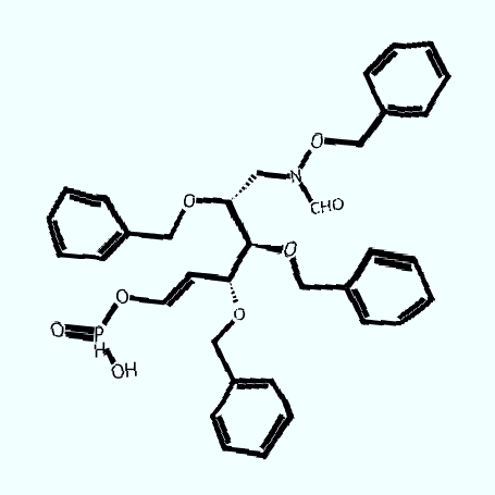 O=CN(C[C@@H](OCc1ccccc1)[C@@H](OCc1ccccc1)[C@@H](/C=C/O[PH](=O)O)OCc1ccccc1)OCc1ccccc1